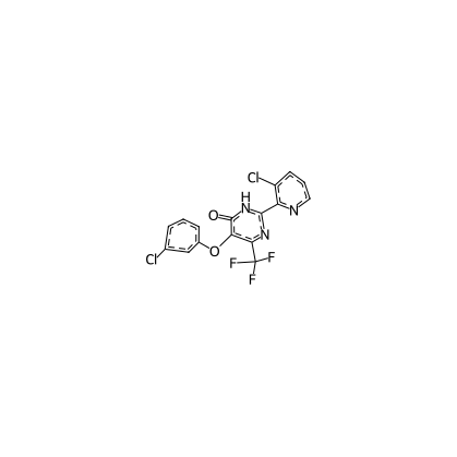 O=c1[nH]c(-c2ncccc2Cl)nc(C(F)(F)F)c1Oc1cccc(Cl)c1